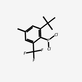 Cc1cc(C(C)(C)C)c(P(Cl)Cl)c(C(F)(F)F)c1